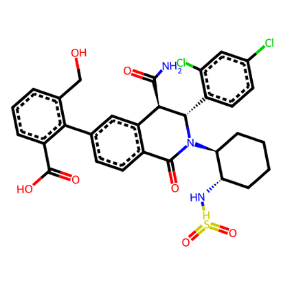 NC(=O)[C@@H]1c2cc(-c3c(CO)cccc3C(=O)O)ccc2C(=O)N([C@H]2CCCC[C@@H]2N[SH](=O)=O)[C@H]1c1ccc(Cl)cc1Cl